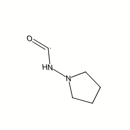 O=[C]NN1CCCC1